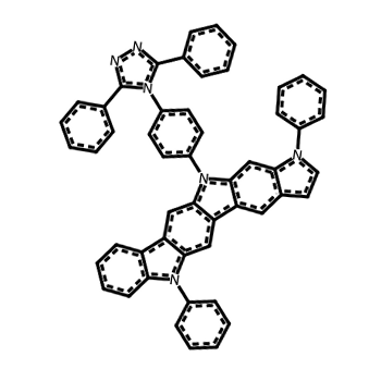 c1ccc(-c2nnc(-c3ccccc3)n2-c2ccc(-n3c4cc5c6ccccc6n(-c6ccccc6)c5cc4c4cc5ccn(-c6ccccc6)c5cc43)cc2)cc1